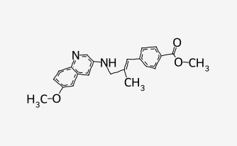 COC(=O)c1ccc(C=C(C)CNc2cnc3ccc(OC)cc3c2)cc1